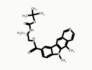 Cc1c2ccncc2cc2c3cc(C(=O)NC[C@H](C)NC(=O)OC(C)(C)C)ccc3n(C)c12